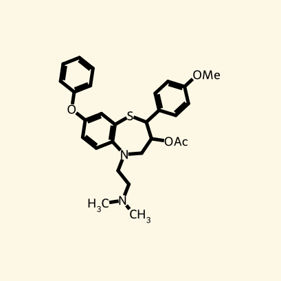 COc1ccc(C2Sc3cc(Oc4ccccc4)ccc3N(CCN(C)C)CC2OC(C)=O)cc1